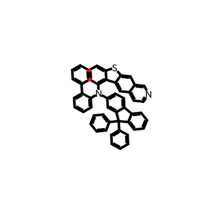 c1ccc(-c2ccccc2N(c2ccc3c(c2)C(c2ccccc2)(c2ccccc2)c2ccccc2-3)c2cccc3sc4cc5cnccc5cc4c23)cc1